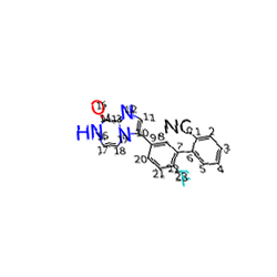 N#Cc1ccccc1-c1cc(-c2cnc3c(=O)[nH]ccn23)ccc1F